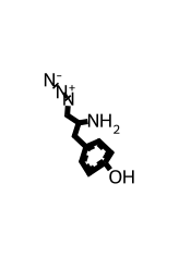 [N-]=[N+]=NCC(N)Cc1ccc(O)cc1